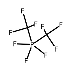 FC(F)(F)P(F)(F)(F)C(F)(F)F